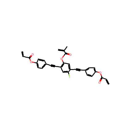 C=CC(=O)Oc1ccc(C#Cc2cc(OC(=O)C(=C)C)c(C#Cc3ccc(OC(=O)C=C)cc3)cc2F)cc1